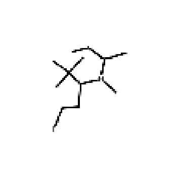 CCC(C)N(C)C(CCI)C(C)(C)C